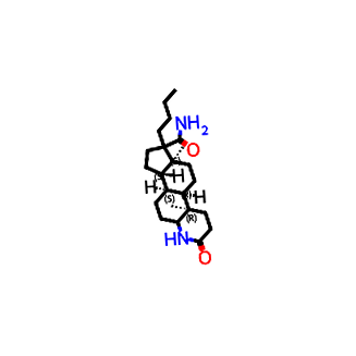 CCCCC1(C(N)=O)CC[C@H]2[C@@H]3CCC4NC(=O)CC[C@]4(C)[C@@H]3CC[C@@]21C